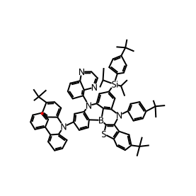 CC(C)[Si](c1ccc(C(C)(C)C)cc1)(c1cc2c3c(c1)N(c1cccc4nccnc14)c1cc(N(c4ccc(C(C)(C)C)cc4)c4ccccc4-c4ccccc4)ccc1B3c1sc3ccc(C(C)(C)C)cc3c1N2c1ccc(C(C)(C)C)cc1)C(C)C